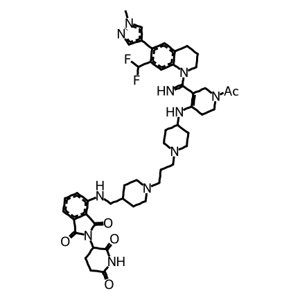 CC(=O)N1CCC(NC2CCN(CCCN3CCC(CNc4cccc5c4C(=O)N(C4CCC(=O)NC4=O)C5=O)CC3)CC2)=C(C(=N)N2CCCc3cc(-c4cnn(C)c4)c(C(F)F)cc32)C1